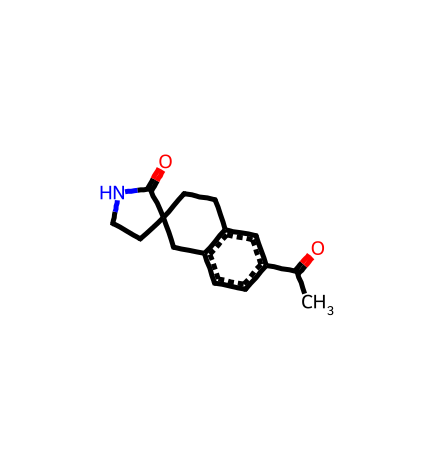 CC(=O)c1ccc2c(c1)CCC1(CCNC1=O)C2